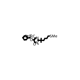 CCOC(=O)c1nc(C(C)(C)CCCCSC)n(C)c(=O)c1OC(=O)c1ccccc1